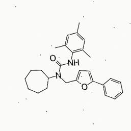 Cc1cc(C)c(NC(=O)N(Cc2ccc(-c3ccccc3)o2)C2CCCCCC2)c(C)c1